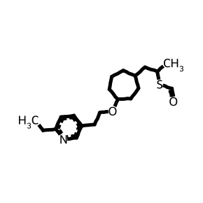 CCc1ccc(CCOC2CCCC(CC(C)SC=O)CC2)cn1